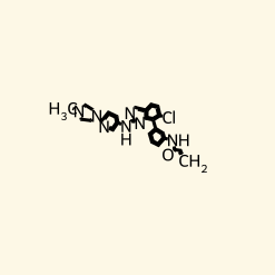 C=CC(=O)Nc1cccc(-c2c(Cl)ccc3cnc(Nc4ccc(N5CCN(C)CC5)nc4)nc23)c1